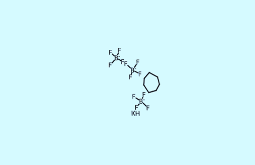 C1CCCCCC1.F[B-](F)(F)F.F[B-](F)(F)F.F[B-](F)(F)F.[KH]